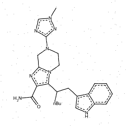 CCCCC(Cc1c[nH]c2ccccc12)c1c(C(N)=O)nc2n1CCN(c1ncn(C)n1)C2